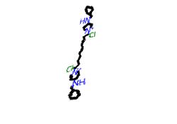 ClC(CCCCCCCCC(Cl)[n+]1ccc(NCc2ccccc2)cc1)[n+]1ccc(NCc2ccccc2)cc1